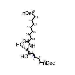 CCCCCCCCCCCC/C=C/[C@@H](O)[C@H](CO)NC(=O)CCCCCCCCCCCCCCCCC